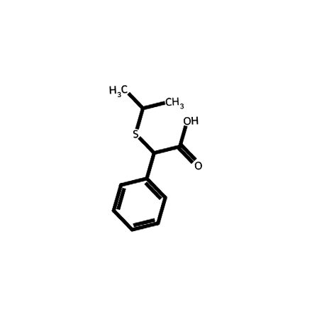 CC(C)SC(C(=O)O)c1ccccc1